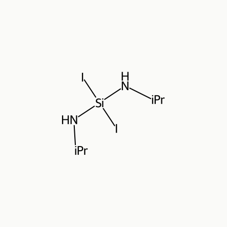 CC(C)N[Si](I)(I)NC(C)C